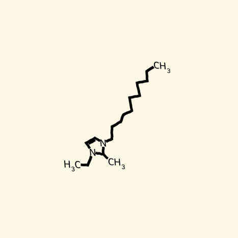 CCCCCCCCCCCN1C=CN(CC)C1C